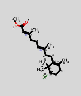 COC(=O)/C=C(\C)CC/C=C(\C)CCC1=C(C)CC[C@H](Br)C1(C)C